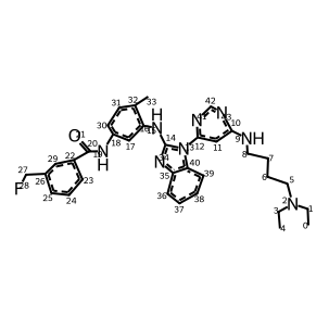 CCN(CC)CCCCNc1cc(-n2c(Nc3cc(NC(=O)c4cccc(CF)c4)ccc3C)nc3ccccc32)ncn1